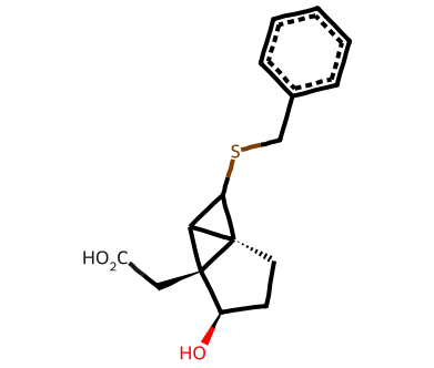 O=C(O)C[C@@]12C3C(SCc4ccccc4)[C@]31CC[C@H]2O